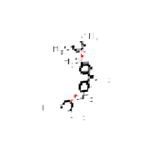 C=C(c1ccc([SiH2]OC(CCC)CCC)cc1)c1ccc([SiH2]OC(CCC)CCC)cc1